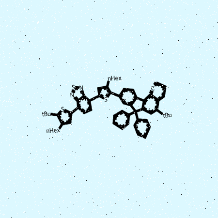 CCCCCCc1cc(-c2ccc(-c3cc(CCCCCC)c(C(C)(C)C)s3)c3nsnc23)sc1-c1ccc2c(c1)C(c1ccccc1)(c1ccccc1)c1cc(C(C)(C)C)c3ccccc3c1-2